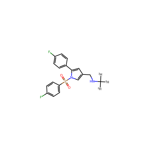 [2H]C([2H])([2H])NCc1cc(-c2ccc(F)cc2)n(S(=O)(=O)c2ccc(F)cc2)c1